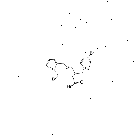 O=C(O)NC(COCc1ccccc1CBr)Cc1ccc(Br)cc1